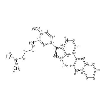 CC(C)c1nn(-c2ccc(C#N)c(NCCCN(C)C)c2)c2nccc(-c3cnc4ccccc4c3)c12